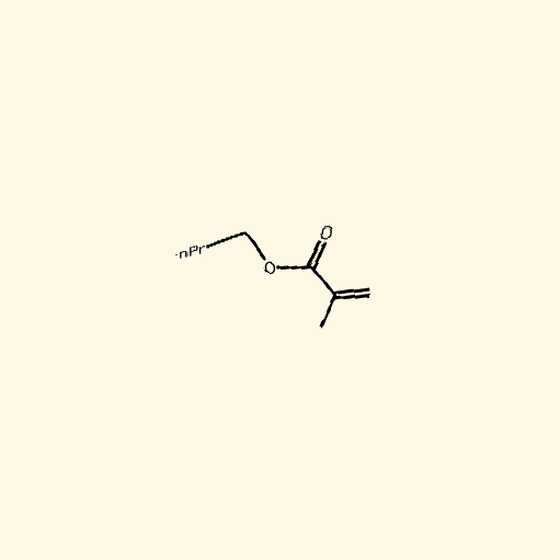 [CH2]C[CH]COC(=O)C(=C)C